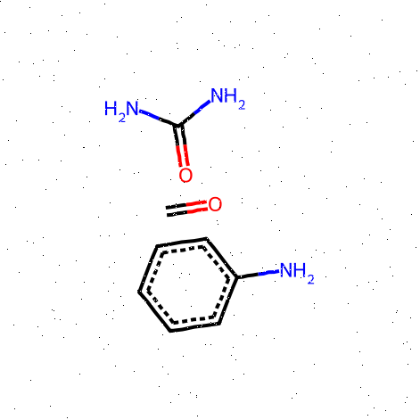 C=O.NC(N)=O.Nc1ccccc1